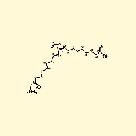 C=CC.NCC(=O)CCCCCCCC/C=C\CCCCCCCC(=O)O